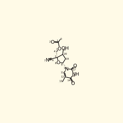 CC(=O)OC[C@@]1(C#N)O[C@@H](n2cc(C)c(=O)[nH]c2=O)CC1O